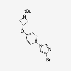 CC(C)(C)N1CC(Oc2ccc(-n3cnc(Br)c3)cc2)C1